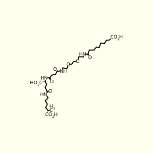 C[C@@H](CCCCNC(=O)CC[C@H](NC(=O)CCC(=O)NCCOCCOCCNC(=O)CCCCCCCCC(=O)O)C(=O)O)C(=O)O